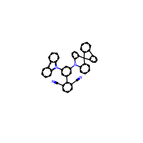 N#Cc1cccc(C#N)c1-c1cc(N2c3ccccc3C3(c4ccccc4-c4ccccc43)c3ccccc32)cc(-n2c3ccccc3c3ccccc32)c1